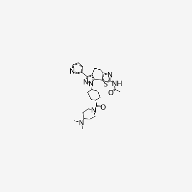 CC(=O)Nc1nc2c(s1)-c1c(c(-c3cccnc3)nn1[C@H]1CC[C@H](C(=O)N3CCC(N(C)C)CC3)CC1)CC2